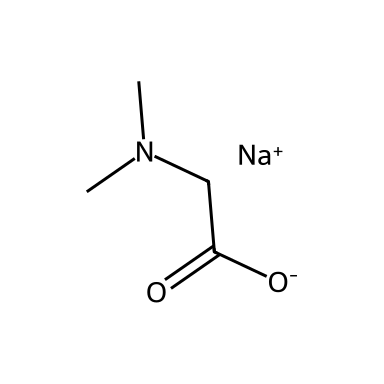 CN(C)CC(=O)[O-].[Na+]